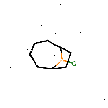 ClP1C2CCCCC1CC2